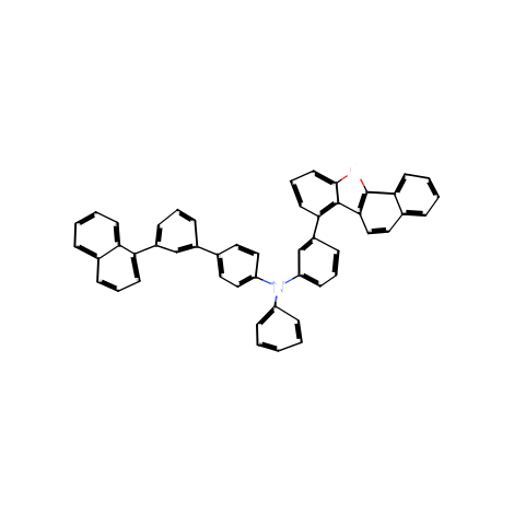 c1ccc(N(c2ccc(-c3cccc(-c4cccc5ccccc45)c3)cc2)c2cccc(-c3cccc4oc5c6ccccc6ccc5c34)c2)cc1